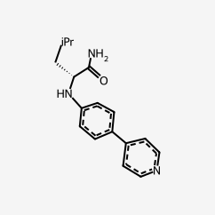 CC(C)C[C@@H](Nc1ccc(-c2ccncc2)cc1)C(N)=O